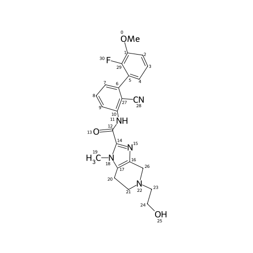 COc1cccc(-c2cccc(NC(=O)c3nc4c(n3C)CCN(CCO)C4)c2C#N)c1F